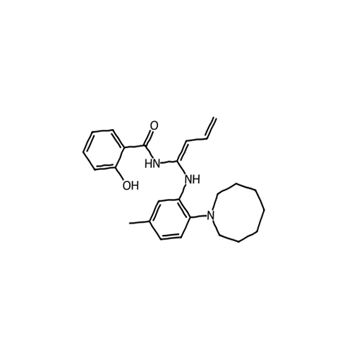 C=C/C=C(/NC(=O)c1ccccc1O)Nc1cc(C)ccc1N1CCCCCCC1